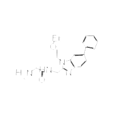 CCOCCn1c(CNC(=O)CN)nc2ccc(-c3ccccc3)cc21